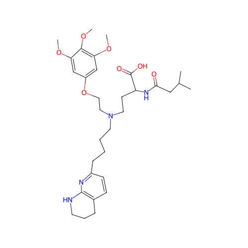 COc1cc(OCCN(CCCCc2ccc3c(n2)NCCC3)CCC(NC(=O)CC(C)C)C(=O)O)cc(OC)c1OC